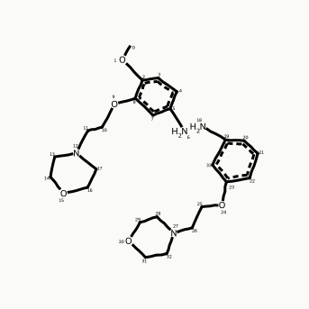 COc1ccc(N)cc1OCCN1CCOCC1.Nc1cccc(OCCN2CCOCC2)c1